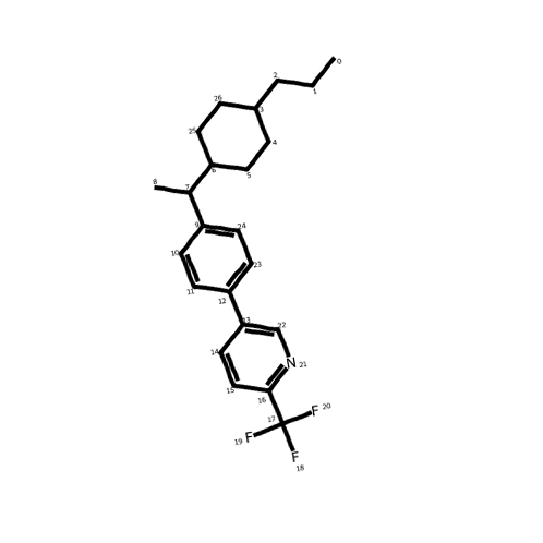 CCCC1CCC(C(C)c2ccc(-c3ccc(C(F)(F)F)nc3)cc2)CC1